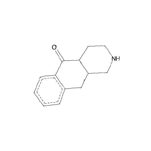 O=C1c2ccccc2CC2CNCCC12